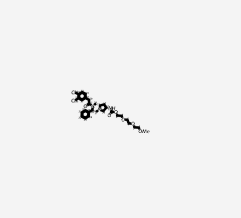 COCCOCCOCCOC(=O)N[C@H]1CCN(C[C@H](c2ccccc2)N(C)C(=O)Cc2ccc(Cl)c(Cl)c2)C1